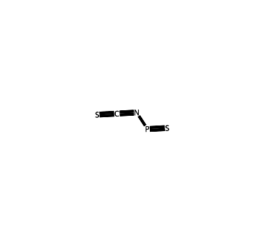 S=C=NP=S